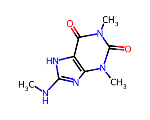 CNc1nc2c([nH]1)c(=O)n(C)c(=O)n2C